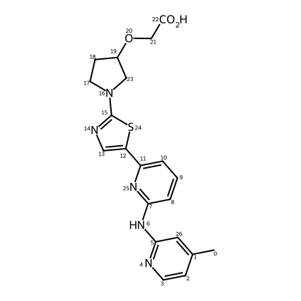 Cc1ccnc(Nc2cccc(-c3cnc(N4CCC(OCC(=O)O)C4)s3)n2)c1